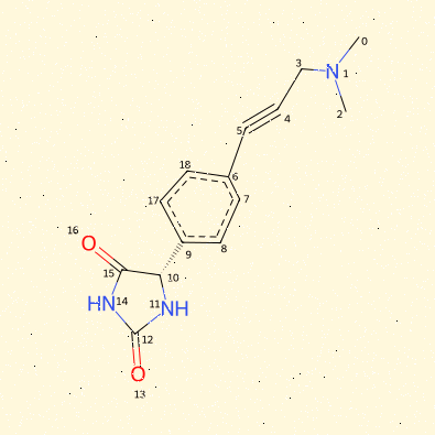 CN(C)CC#Cc1ccc([C@@H]2NC(=O)NC2=O)cc1